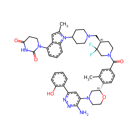 Cc1cc(C(=O)N2CC[C@H](CN3CCC(n4c(C)cc5c(N6CCC(=O)NC6=O)cccc54)CC3)C(F)(F)C2)ccc1[C@H]1CN(c2cc(-c3ccccc3O)nnc2N)CCO1